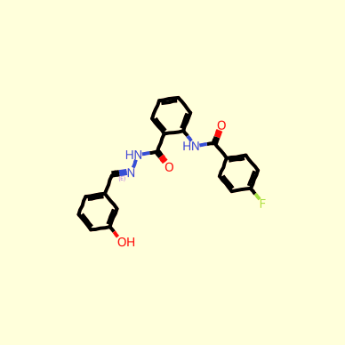 O=C(Nc1ccccc1C(=O)N/N=C/c1cccc(O)c1)c1ccc(F)cc1